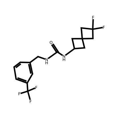 O=C(NCc1cccc(C(F)(F)F)c1)NC1CC2(C1)CC(F)(F)C2